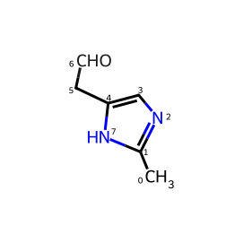 Cc1ncc(CC=O)[nH]1